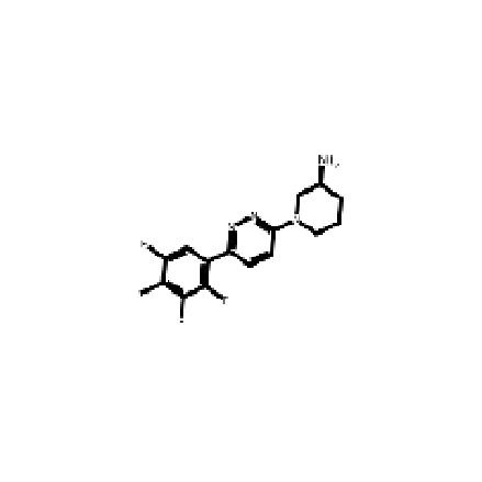 Cc1c(F)cc(-c2ccc(N3CCCC(N)C3)nn2)c(F)c1F